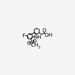 CS(=O)(=O)c1cc(F)cc2c3c([nH]c12)C(CC(=O)O)CCC3